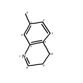 Cc1ccc2c(c1)N=CCC2